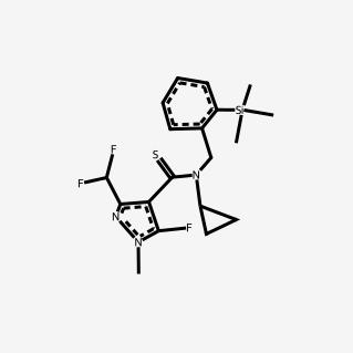 Cn1nc(C(F)F)c(C(=S)N(Cc2ccccc2[Si](C)(C)C)C2CC2)c1F